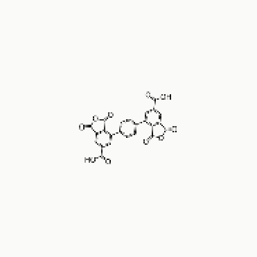 O=C(O)c1cc2c(c(-c3ccc(-c4cc(C(=O)O)cc5c4C(=O)OC5=O)cc3)c1)C(=O)OC2=O